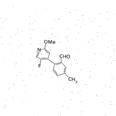 COc1cc(-c2ccc(C)cc2C=O)c(F)cn1